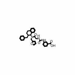 O=C(NCC(=O)N(Cc1ccco1)C1c2ccccc2CCC1Cc1ccccc1)Nc1cccc(C(=O)O)c1